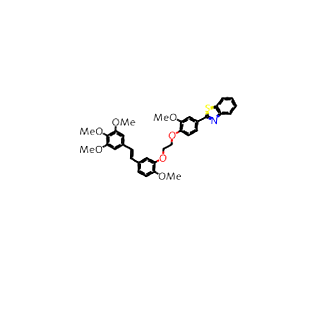 COc1cc(-c2nc3ccccc3s2)ccc1OCCOc1cc(C=Cc2cc(OC)c(OC)c(OC)c2)ccc1OC